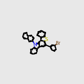 Brc1cccc(-c2cc3c4ccccc4n(-c4ccc5ccccc5c4)c3c3c2sc2ccccc23)c1